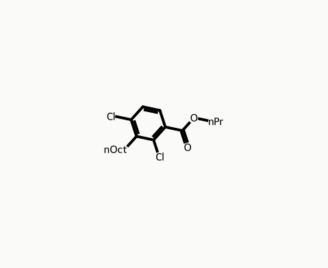 CCCCCCCCc1c(Cl)ccc(C(=O)OCCC)c1Cl